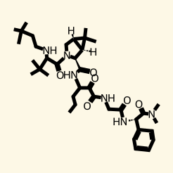 CCCC(NC(=O)[C@@H]1[C@H]2[C@@H](CN1C(=O)C(NCCC(C)(C)C)C(C)(C)C)C2(C)C)C(=O)C(=O)NCC(=O)N[C@H](C(=O)N(C)C)c1ccccc1